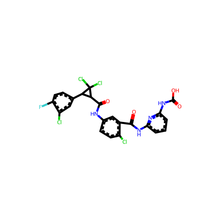 O=C(O)Nc1cccc(NC(=O)c2cc(NC(=O)C3C(c4ccc(F)c(Cl)c4)C3(Cl)Cl)ccc2Cl)n1